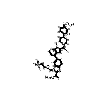 CO[C@H](C)c1nc2ccc(-c3ccnc4c3cc([C@H](C)N3CCC(c5ccc(C(=O)O)cc5)CC3)n4C)cc2n1COCC[Si](C)(C)C